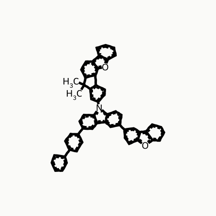 CC1(C)c2cc(-n3c4ccc(-c5ccc(-c6ccccc6)cc5)cc4c4cc(-c5ccc6oc7ccccc7c6c5)ccc43)ccc2-c2c1ccc1c2oc2ccccc21